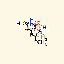 CC(C)(C)OC(N)=O.CCCCCCCC